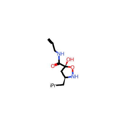 C=CCNC(=O)[C@@]1(O)C[C@H](CC(C)C)NO1